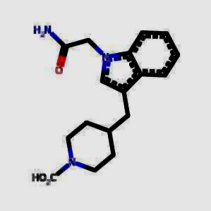 NC(=O)Cn1cc(CC2CCN(C(=O)O)CC2)c2ccccc21